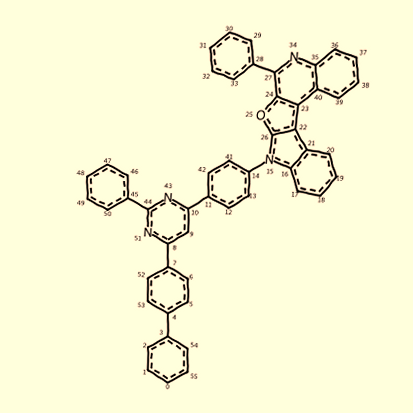 c1ccc(-c2ccc(-c3cc(-c4ccc(-n5c6ccccc6c6c7c(oc65)c(-c5ccccc5)nc5ccccc57)cc4)nc(-c4ccccc4)n3)cc2)cc1